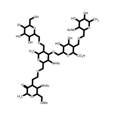 CCC1C(CO)OC(COCC2C(C)OC(COCCC3C(=O)C(C)OC(COC)C3NC(C)=O)C(NC(C)=O)C2OCC2OC(C(=O)O)C(COCC3OC(C)C(O)C(O)C3NC(C)=O)C(O)C2O)C(O)C1O